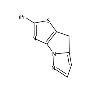 CC(C)c1nc2c(s1)Cc1ccnn1-2